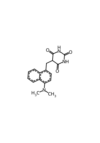 CN(C)c1ccc(CC2C(=O)NC(=O)NC2=O)c2ccccc12